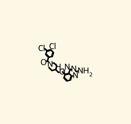 Nc1nc(N)c2c(OCC3CCN(C(=O)c4ccc(Cl)c(Cl)c4)CC3)cccc2n1